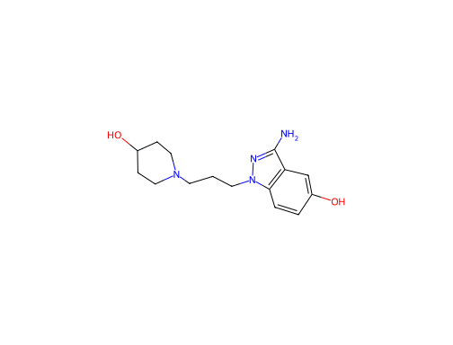 Nc1nn(CCCN2CCC(O)CC2)c2ccc(O)cc12